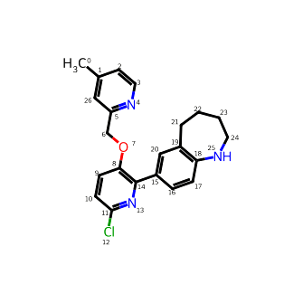 Cc1ccnc(COc2ccc(Cl)nc2-c2ccc3c(c2)CCCCN3)c1